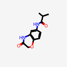 CC(C)C(=O)Nc1ccc2c(c1)NC(=O)CO2